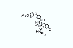 COc1ccc(Oc2ccc(NC3NC(=O)N(CC(=O)NN)C(=O)N3Cc3ccc(Cl)cc3)cc2)cn1